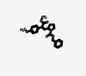 COC(=O)C(CC1CCCN1C(=O)OCc1ccccc1)c1ccc(OC)cc1